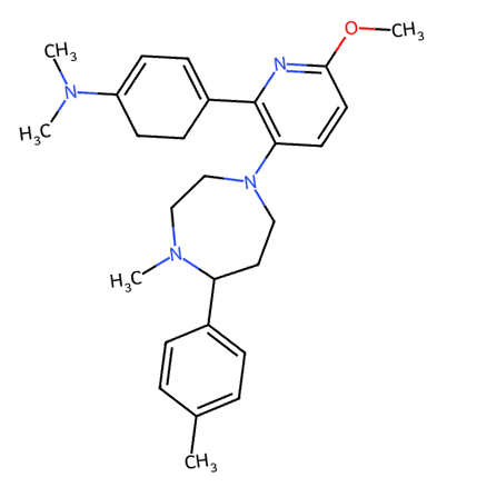 COc1ccc(N2CCC(c3ccc(C)cc3)N(C)CC2)c(C2=CC=C(N(C)C)CC2)n1